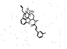 C=CCN1CC[C@]23c4c5cccc4OC2C(N(C)C(=O)/C=C/c2cccc(C)c2)CC[C@@]3(OC(C)=O)[C@H]1C5